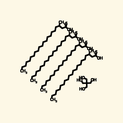 CCCCCCCCCCCCCCCCCCC(C)CC(O)=S.CCCCCCCCCCCCCCCCCCC(C)CC(O)=S.CCCCCCCCCCCCCCCCCCC(C)CC(O)=S.CCCCCCCCCCCCCCCCCCC(C)CC(O)=S.OCC(CO)(CO)CO